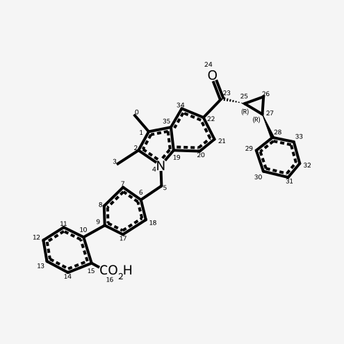 Cc1c(C)n(Cc2ccc(-c3ccccc3C(=O)O)cc2)c2ccc(C(=O)[C@@H]3C[C@H]3c3ccccc3)cc12